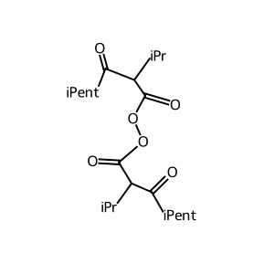 CCCC(C)C(=O)C(C(=O)OOC(=O)C(C(=O)C(C)CCC)C(C)C)C(C)C